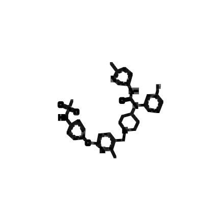 Cc1ccc(NC(=O)N(c2cccc(F)c2)C2CCN(Cc3ccc(Oc4ccc(NS(C)(=O)=O)cc4)nc3C)CC2)cn1